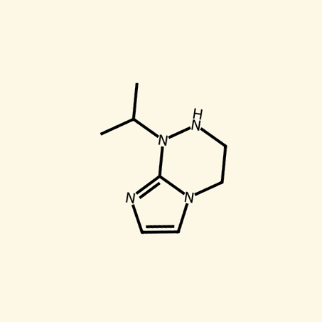 CC(C)N1NCCn2ccnc21